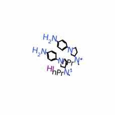 CCC[N+](C)(C)C1CCN(c2ccc(N)cc2)C1.CCC[N+](C)(C)C1CCN(c2ccc(N)cc2)C1.I